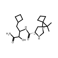 CC1(C)C2(CCC2)[C@]12CN[C@H](C(=O)NC(CC1CCC1)C(O)C(N)=O)C2